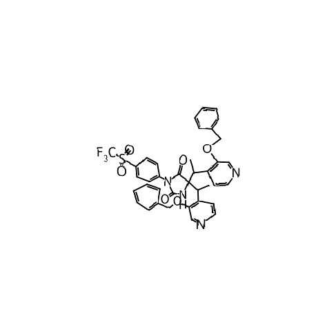 CC(c1ccncc1OCc1ccccc1)C1(C(C)c2ccncc2OCc2ccccc2)NC(=O)N(c2ccc(S(=O)(=O)C(F)(F)F)cc2)C1=O